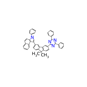 CC1(C)c2ccc(-c3nc(-c4ccccc4)nc(-c4ccccc4)n3)cc2-c2cc(-c3cn(-c4ccccc4)c4ccc5ccccc5c34)ccc21